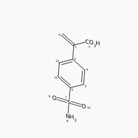 C=C(C(=O)O)c1ccc(S(N)(=O)=O)cc1